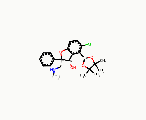 CC1(C)OB(c2c(Cl)ccc3c2[C@H](O)[C@@](CNC(=O)O)(c2ccccc2)O3)OC1(C)C